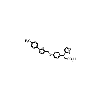 O=C(O)C[C@@H](c1ccc(OCc2ccc(-c3ccc(C(F)(F)F)cc3)s2)cc1)c1ccon1